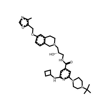 Cc1ncoc1COc1ccc2c(c1)CCN(C[C@@H](O)CNC(=O)c1cc(NC3CCC3)nc(N3CCN(C(C)(C)C)CC3)c1)C2